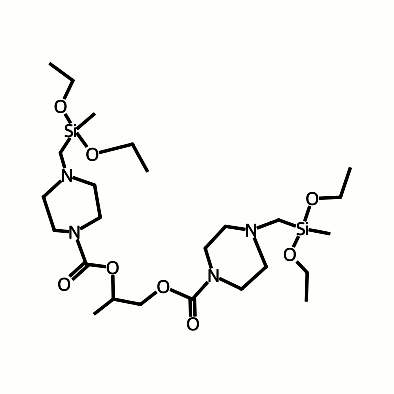 CCO[Si](C)(CN1CCN(C(=O)OCC(C)OC(=O)N2CCN(C[Si](C)(OCC)OCC)CC2)CC1)OCC